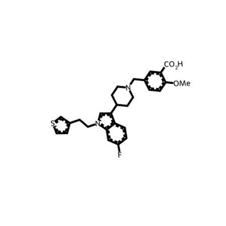 COc1ccc(CN2CCC(c3cn(CCc4ccsc4)c4cc(F)ccc34)CC2)cc1C(=O)O